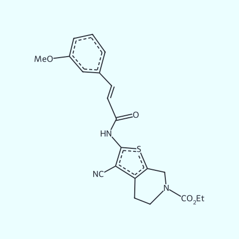 CCOC(=O)N1CCc2c(sc(NC(=O)/C=C/c3cccc(OC)c3)c2C#N)C1